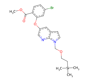 COC(=O)c1ccc(Br)cc1Oc1cnc2c(ccn2COCC[Si](C)(C)C)c1